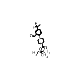 CC(C)(C)OC(=O)N1CCN(c2ccc(C(F)(F)F)cc2C=O)CC1